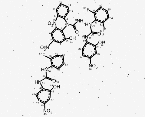 NC(=O)N(c1ccc([N+](=O)[O-])cc1O)c1ccccc1[N+](=O)[O-].O=C(Nc1ccc([N+](=O)[O-])cc1O)Nc1c(F)cccc1F.O=C(Nc1ccc([N+](=O)[O-])cc1O)Nc1ccccc1F